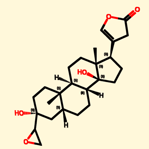 C[C@]12CC[C@](O)(C3CO3)C[C@H]1CC[C@@H]1[C@@H]2CC[C@]2(C)[C@@H](C3=COC(=O)C3)CC[C@]12O